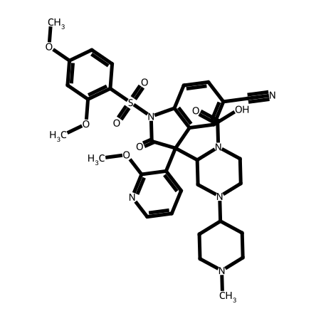 COc1ccc(S(=O)(=O)N2C(=O)C(c3cccnc3OC)(C3CN(C4CCN(C)CC4)CCN3C(=O)O)c3cc(C#N)ccc32)c(OC)c1